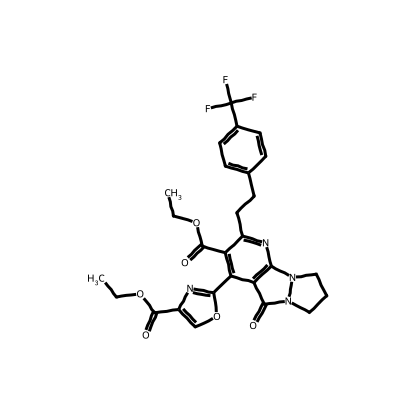 CCOC(=O)c1coc(-c2c(C(=O)OCC)c(CCc3ccc(C(F)(F)F)cc3)nc3c2c(=O)n2n3CCC2)n1